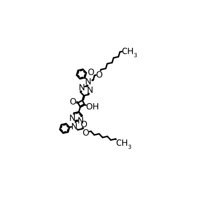 CCCCCCCCOC(=O)CN(c1ccccc1)c1ncc(C2=C(O)C(=C3C=NC(=[N+](CC(=O)OCCCCCCCC)c4ccccc4)N=C3)C2=O)cn1